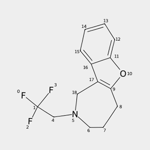 FC(F)(F)CN1CCCc2oc3ccccc3c2C1